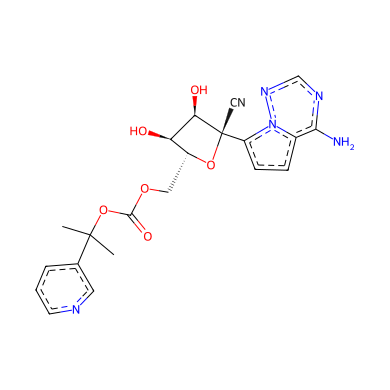 CC(C)(OC(=O)OC[C@H]1O[C@@](C#N)(c2ccc3c(N)ncnn23)[C@H](O)[C@@H]1O)c1cccnc1